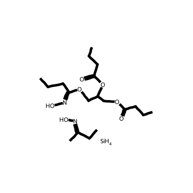 CCC(C)=NO.CCCC(=O)OCC(COC(CCC)=NO)OC(=O)CCC.[SiH4]